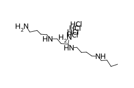 CCCCNCCCCNC(N)CCNCCCCN.Cl.Cl.Cl.Cl